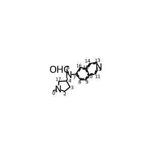 CN1CCC(N([C]=O)c2ccc3cnccc3c2)C1